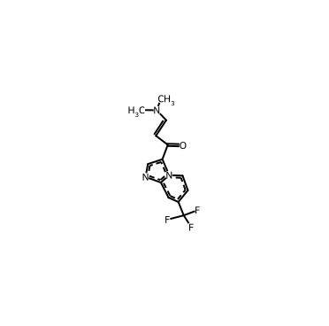 CN(C)/C=C/C(=O)c1cnc2cc(C(F)(F)F)ccn12